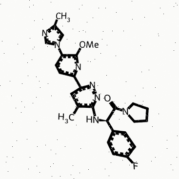 COc1nc(-c2cc(C)c(N[C@@H](C(=O)N3CCCC3)c3ccc(F)cc3)nn2)ccc1-n1cnc(C)c1